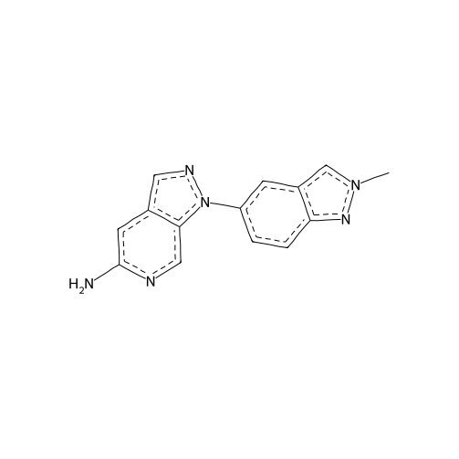 Cn1cc2cc(-n3ncc4cc(N)ncc43)ccc2n1